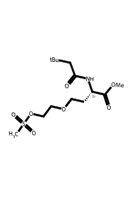 COC(=O)[C@H](CCOCCOS(C)(=O)=O)NC(=O)CC(C)(C)C